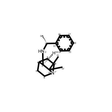 C[C@@H](N[C@@H]1C2CCN(CC2)C1(C)C)c1ccccc1